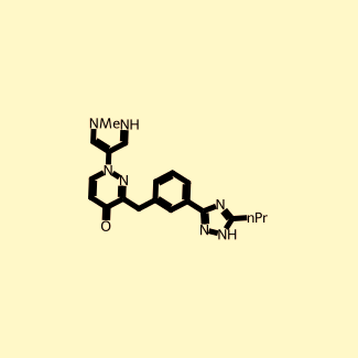 CCCc1nc(-c2cccc(Cc3nn(/C(C=N)=C/NC)ccc3=O)c2)n[nH]1